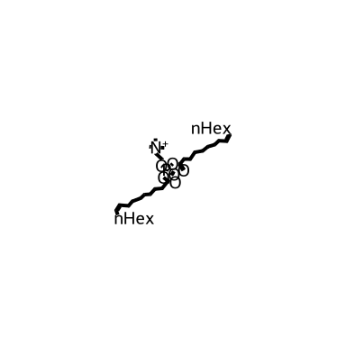 CCCCCC/C=C\CCCCCCCC(=O)OP(=O)(OCC[N+](C)(C)C)OC(=O)CCCCCCC/C=C\CCCCCC